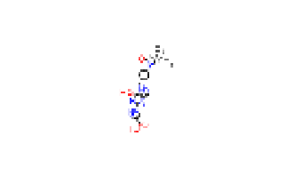 CC1(C)CC(=O)N(c2ccc(Cn3ncc4nc(-n5cc(C(=O)O)cn5)nc(O)c43)cc2)C1